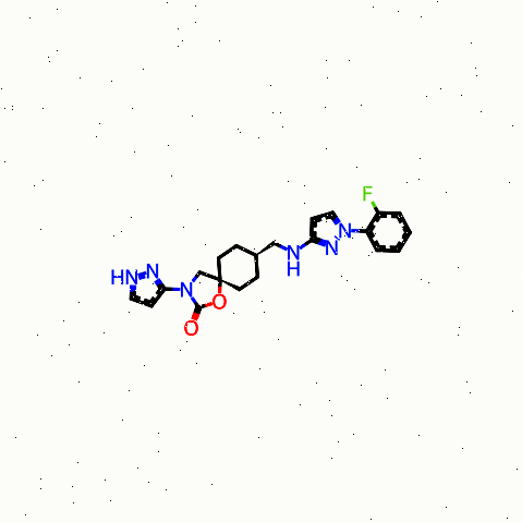 O=C1O[C@]2(CC[C@H](CNc3ccn(-c4ccccc4F)n3)CC2)CN1c1cc[nH]n1